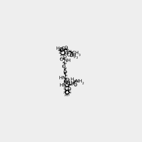 COC1C(OC(=O)NCCOCCOCCNC(=O)CNN[C@@H](Cc2ccccc2)C(=O)C(=O)CNC(=O)CN)CC[C@]2(CO2)C1C1(C)O[C@@H]1CC=C(C)C